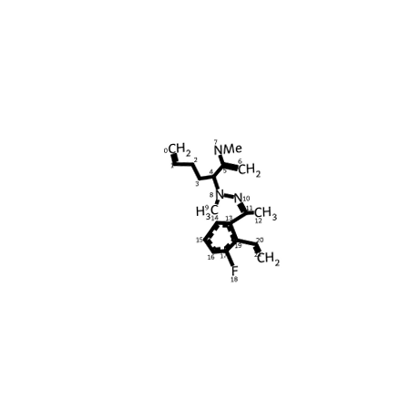 C=CCCC(C(=C)NC)N(C)/N=C(/C)c1cccc(F)c1C=C